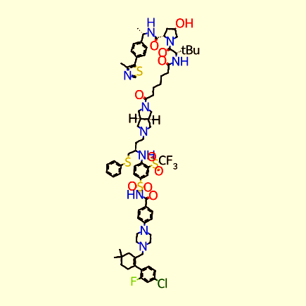 Cc1ncsc1-c1ccc([C@H](C)NC(=O)[C@@H]2C[C@@H](O)CN2C(=O)[C@@H](NC(=O)CCCCCC(=O)N2C[C@H]3CN(CC[C@H](CSc4ccccc4)Nc4ccc(S(=O)(=O)NC(=O)c5ccc(N6CCN(CC7=C(c8ccc(Cl)cc8F)CCC(C)(C)C7)CC6)cc5)cc4S(=O)(=O)C(F)(F)F)C[C@H]3C2)C(C)(C)C)cc1